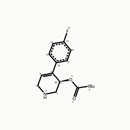 CC(C)(C)C(=O)O[C@H]1CNCC=C1c1ccc(F)cc1